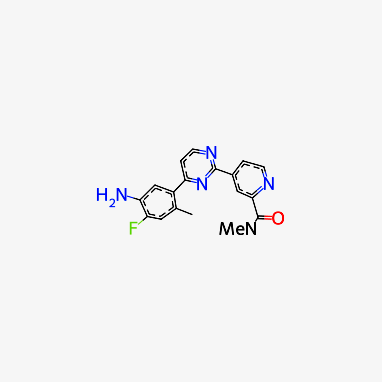 CNC(=O)c1cc(-c2nccc(-c3cc(N)c(F)cc3C)n2)ccn1